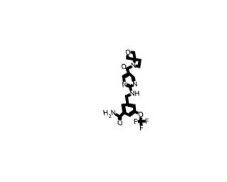 NC(=O)c1cc(CNc2ncc(C(=O)N3CCC34COC4)cn2)cc(OC(F)(F)F)c1